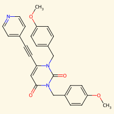 COc1ccc(Cn2c(C#Cc3ccncc3)cc(=O)n(Cc3ccc(OC)cc3)c2=O)cc1